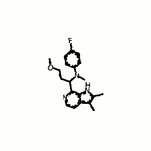 COCCC(c1nccc2c(C)c(C)[nH]c12)N(C)c1ccc(F)cc1